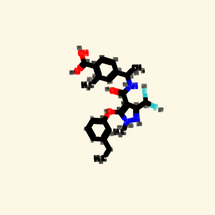 CCc1cccc(Oc2c(C(=O)NC(C)c3ccc(C(=O)O)c(C)c3)c(C(F)F)nn2C)c1